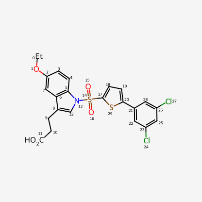 CCOc1ccc2c(c1)c(CCC(=O)O)cn2S(=O)(=O)c1ccc(-c2cc(Cl)cc(Cl)c2)s1